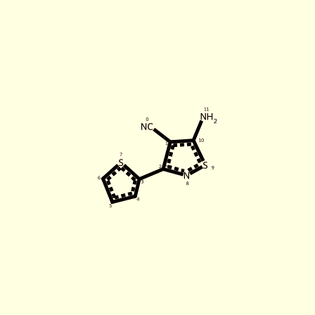 N#Cc1c(-c2cccs2)nsc1N